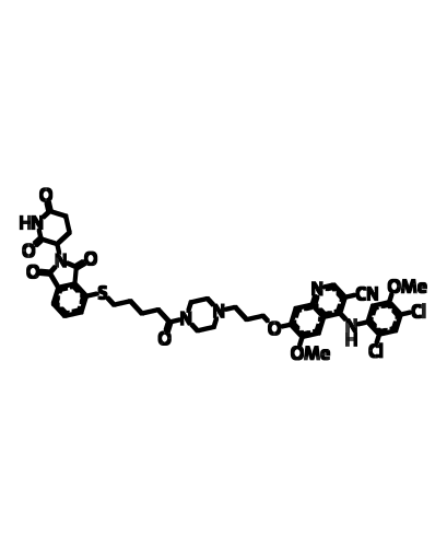 COc1cc(Nc2c(C#N)cnc3cc(OCCCN4CCN(C(=O)CCCCSc5cccc6c5C(=O)N(C5CCC(=O)NC5=O)C6=O)CC4)c(OC)cc23)c(Cl)cc1Cl